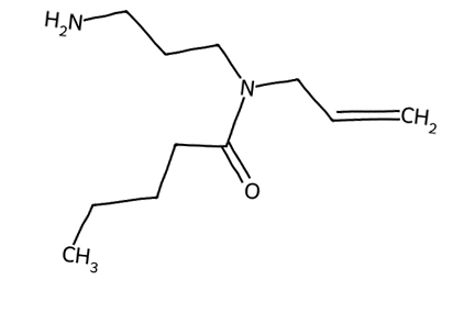 C=CCN(CCCN)C(=O)CCCC